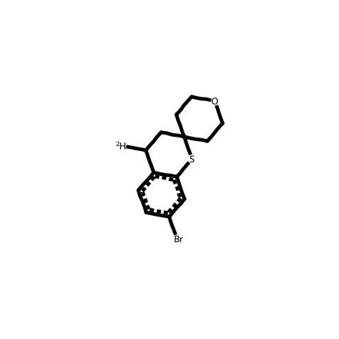 [2H]C1CC2(CCOCC2)Sc2cc(Br)ccc21